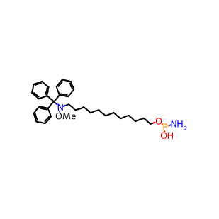 CON(CCCCCCCCCCCCOP(N)O)C(c1ccccc1)(c1ccccc1)c1ccccc1